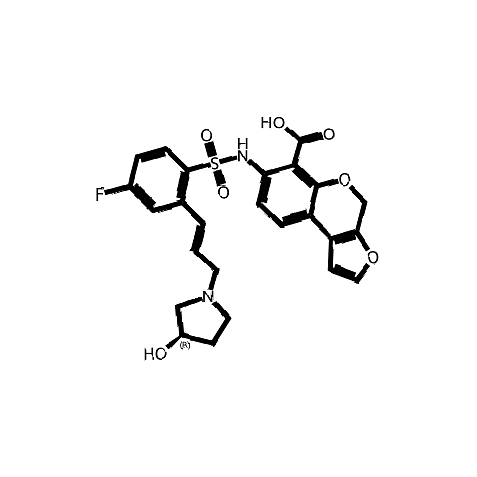 O=C(O)c1c(NS(=O)(=O)c2ccc(F)cc2C=CCN2CC[C@@H](O)C2)ccc2c1OCc1occc1-2